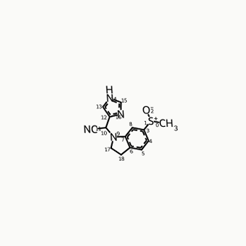 C[S+]([O-])c1ccc2c(c1)N(C(C#N)c1c[nH]cn1)CC2